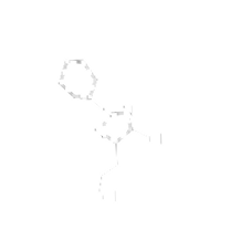 Cc1nn(-c2ccccc2)nc1CCO